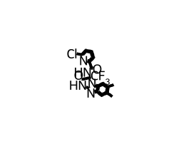 Cc1cc2nc3n(c2cc1C)C(NC(=O)c1cccc(Cl)n1)(C(F)(F)F)C(=O)N3